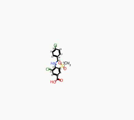 CS(=O)(=O)c1cc(C(=O)O)cc(Cl)c1NCc1ccc(Cl)cc1